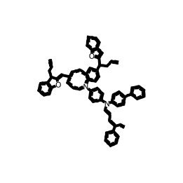 C=CCC1/C(=C/c2cccn(-c3ccc(N(/C=C/C=C(\C=C)c4ccccc4)c4ccc(-c5ccccc5)cc4)cc3)c3ccc(C(CC=C)c4cc5ccccc5o4)cc3cc2)Oc2ccccc21